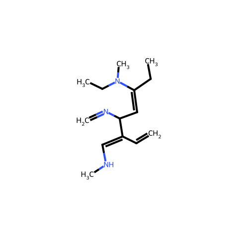 C=C/C(=C\NC)C(/C=C(/CC)N(C)CC)N=C